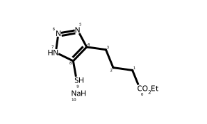 CCOC(=O)CCCc1nn[nH]c1S.[NaH]